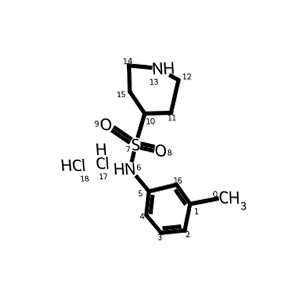 Cc1cccc(NS(=O)(=O)C2CCNCC2)c1.Cl.Cl